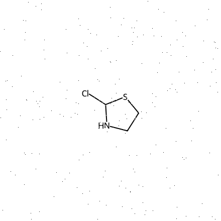 ClC1NCCS1